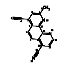 Cc1cc(C#N)c2ccc3c(C#N)ccnc3c2n1